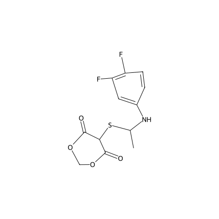 CC(Nc1ccc(F)c(F)c1)SC1C(=O)OCOC1=O